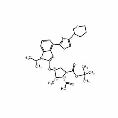 CC(C)n1c(O[C@H]2CN(C(=O)OC(C)(C)C)[C@H](C(=O)O)[C@@H]2C)nc2c(-c3nc(C4CCCCC4)cs3)cccc21